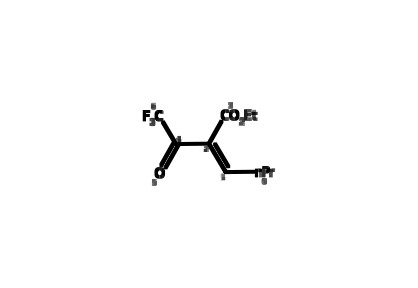 CCC/C=C(\C(=O)OCC)C(=O)C(F)(F)F